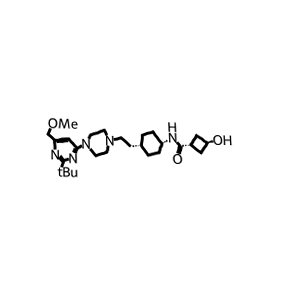 COCc1cc(N2CCN(CC[C@H]3CC[C@@H](NC(=O)[C@H]4C[C@H](O)C4)CC3)CC2)nc(C(C)(C)C)n1